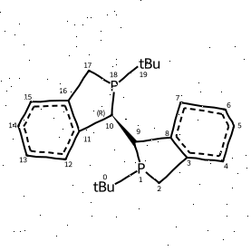 CC(C)(C)P1Cc2ccccc2C1[C@H]1c2ccccc2CP1C(C)(C)C